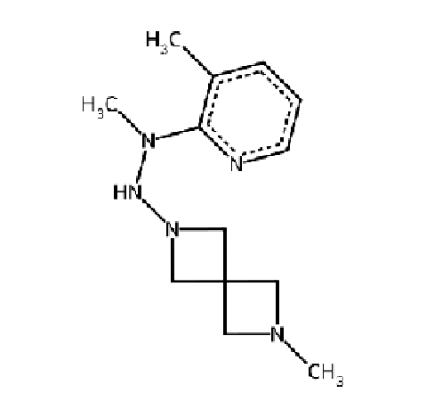 Cc1cccnc1N(C)NN1CC2(CN(C)C2)C1